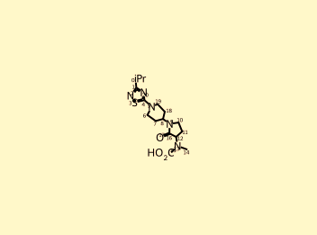 CC(C)c1nsc(N2CCC(N3CCC(N(C)C(=O)O)C3=O)CC2)n1